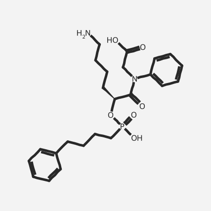 NCCCC[C@H](OP(=O)(O)CCCCc1ccccc1)C(=O)N(CC(=O)O)c1ccccc1